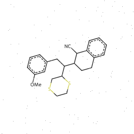 COc1cccc(CC(C2CSCCS2)C2CCc3ccccc3C2C#N)c1